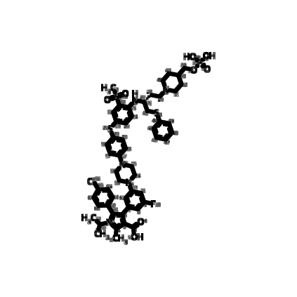 Cc1c(C(=O)O)c(-c2cc(F)cc(N3CCN(c4ccc(Sc5ccc(N[C@H](CCN6CCC(COP(=O)(O)O)CC6)CSc6ccccc6)c(S(C)(=O)=O)c5)cc4)CC3)c2)c(-c2ccc(Cl)cc2)n1C(C)C